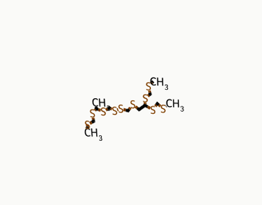 CSCSC(C)SCSSCSCC(SCSC)SCSC